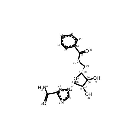 NC(=O)c1ncn([C@@H]2O[C@H](COC(=O)c3ccccc3)[C@@H](O)[C@H]2O)n1